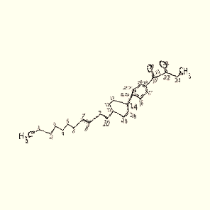 CCCCCCCCCCCC1CCC(c2ccc(C(=O)CC(=O)CC)cc2)CC1